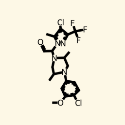 COc1cc(N2CC(C)N(C(C=O)n3nc(C(F)(F)F)c(Cl)c3C)CC2C)ccc1Cl